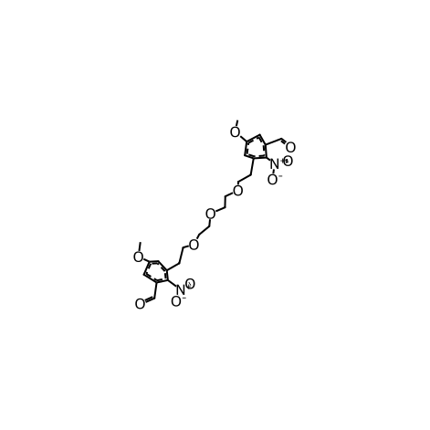 COc1cc(C=O)c([N+](=O)[O-])c(CCOCCOCCOCCc2cc(OC)cc(C=O)c2[N+](=O)[O-])c1